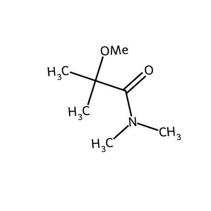 COC(C)(C)C(=O)N(C)C